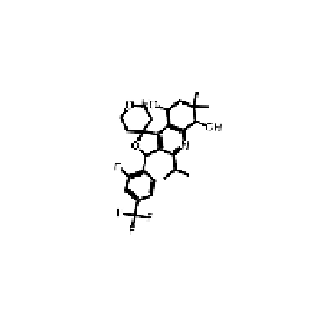 CC(C)c1nc2c(c3c1[C@@H](c1ccc(C(F)(F)F)cc1F)OC31CCOCC1)[C@@H](O)CC(C)(C)[C@H]2O